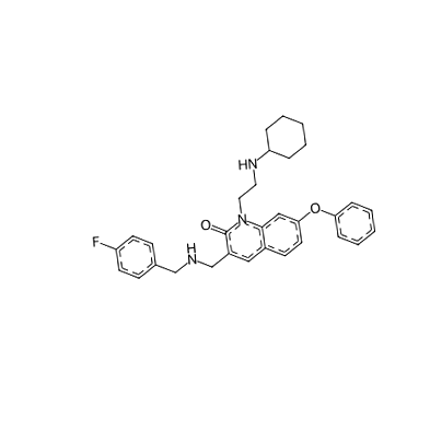 O=c1c(CNCc2ccc(F)cc2)cc2ccc(Oc3ccccc3)cc2n1CCNC1CCCCC1